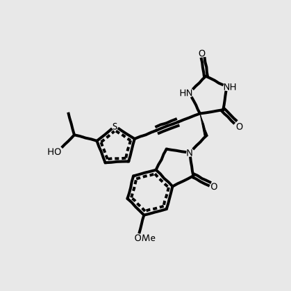 COc1ccc2c(c1)C(=O)N(C[C@@]1(C#Cc3ccc(C(C)O)s3)NC(=O)NC1=O)C2